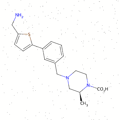 C[C@H]1CN(Cc2cccc(-c3ccc(CN)s3)c2)CCN1C(=O)O